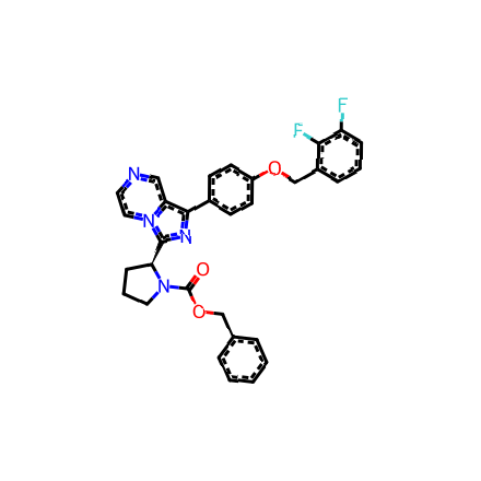 O=C(OCc1ccccc1)N1CCC[C@H]1c1nc(-c2ccc(OCc3cccc(F)c3F)cc2)c2cnccn12